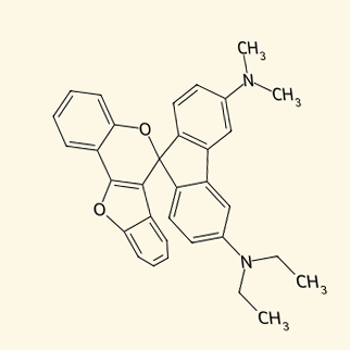 CCN(CC)c1ccc2c(c1)-c1cc(N(C)C)ccc1C21Oc2ccccc2-c2oc3ccccc3c21